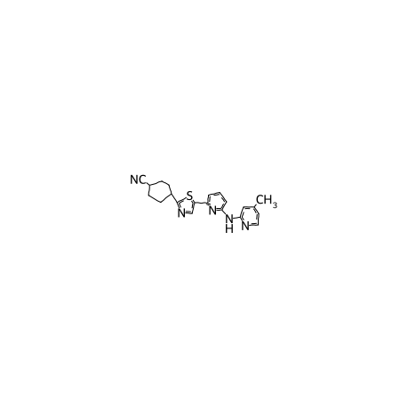 Cc1ccnc(Nc2cccc(-c3cnc(C4CCC(C#N)CC4)s3)n2)c1